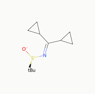 CC(C)(C)[S@@+]([O-])N=C(C1CC1)C1CC1